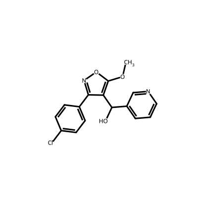 COc1onc(-c2ccc(Cl)cc2)c1C(O)c1cccnc1